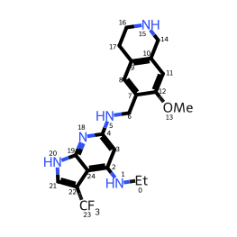 CCNc1cc(NCc2cc3c(cc2OC)CNCC3)nc2[nH]cc(C(F)(F)F)c12